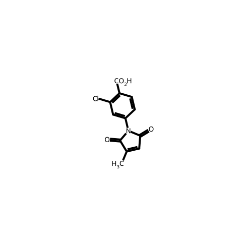 CC1=CC(=O)N(c2ccc(C(=O)O)c(Cl)c2)C1=O